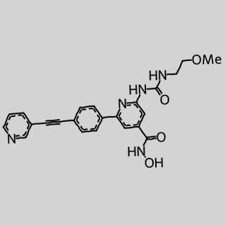 COCCNC(=O)Nc1cc(C(=O)NO)cc(-c2ccc(C#Cc3cccnc3)cc2)n1